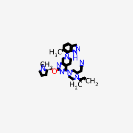 C=CC(=C)N1CCN(c2nc(OC[C@@H]3CCCN3C)nc3c2CCN(c2c(C)ccc4cn[nH]c24)C3)CC1CC#N